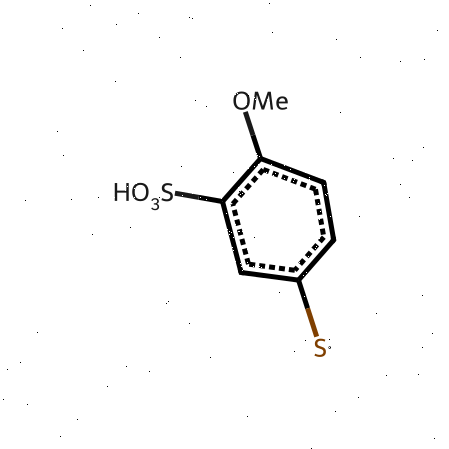 COc1ccc([S])cc1S(=O)(=O)O